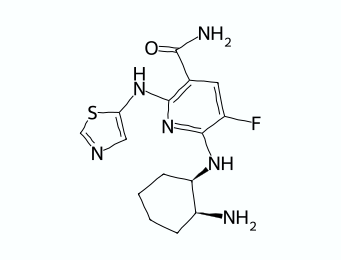 NC(=O)c1cc(F)c(N[C@@H]2CCCC[C@@H]2N)nc1Nc1cncs1